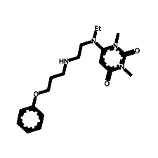 CCN(CCNCCCOc1ccccc1)c1cc(=O)n(C)c(=O)n1C